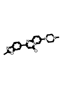 Cc1nc2ccc(-c3cc(=O)n4cc(N5CCN(C)CC5)ccc4n3)cc2o1